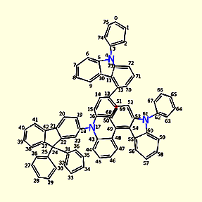 c1ccc(-n2c3ccccc3c3c(-c4ccc(N(c5ccc6c(c5)C(c5ccccc5)(c5ccccc5)c5ccccc5-6)c5ccccc5-c5cccc6c5c5ccccc5n6-c5ccccc5)cc4)cccc32)cc1